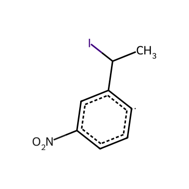 CC(I)c1[c]ccc([N+](=O)[O-])c1